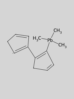 [CH3][Pb]([CH3])([CH3])[C]1=C(C2=[C]CC=C2)CC=C1